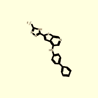 FC(F)(F)c1nnc(-c2cc3c(Nc4ccc(-c5ccccc5)cc4)cncc3s2)[nH]1